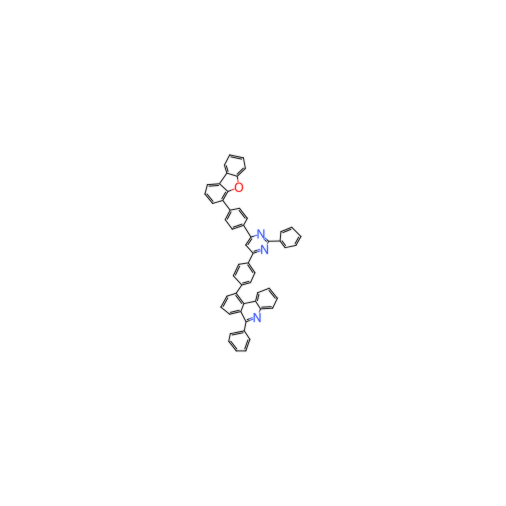 c1ccc(-c2nc(-c3ccc(-c4cccc5c4oc4ccccc45)cc3)cc(-c3ccc(-c4cccc5c(-c6ccccc6)nc6ccccc6c45)cc3)n2)cc1